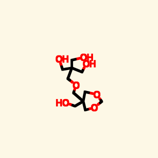 OCC(CO)(CO)COCC1(CO)COCOC1